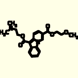 COCCOC(=O)c1ccc2c(C(=O)OCCN(C)C)c3ccccc3n2c1